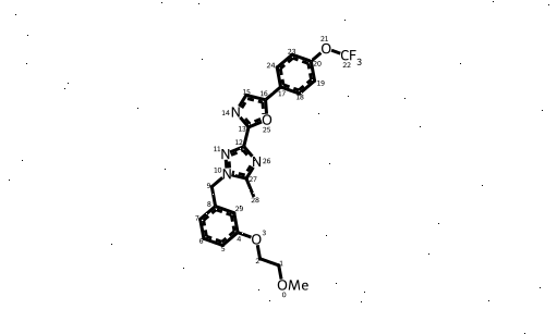 COCCOc1cccc(Cn2nc(-c3ncc(-c4ccc(OC(F)(F)F)cc4)o3)nc2C)c1